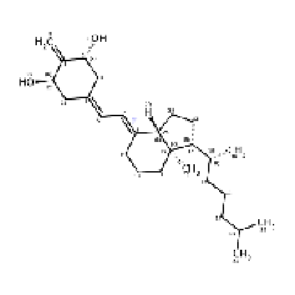 C=C1[C@H](O)CC(=C/C=C2\CCC[C@]3(C)[C@@H]([C@H](C)CCCC(C)C)CC[C@@H]23)C[C@H]1O